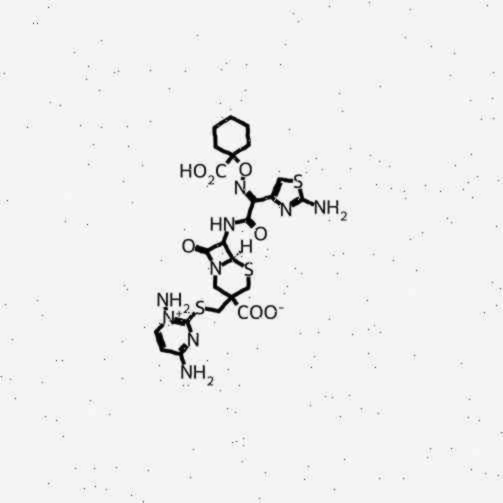 Nc1cc[n+](N)c(SCC2(C(=O)[O-])CS[C@@H]3C(NC(=O)C(=NOC4(C(=O)O)CCCCC4)c4csc(N)n4)C(=O)N3C2)n1